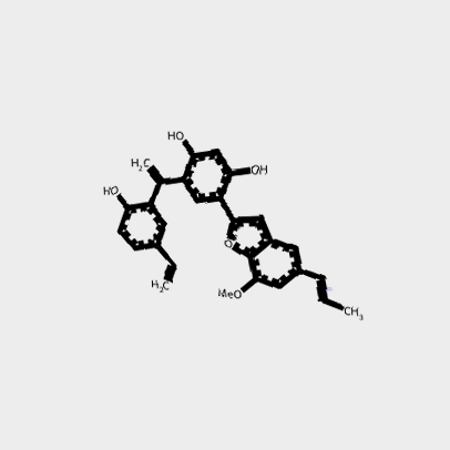 C=Cc1ccc(O)c(C(=C)c2cc(-c3cc4cc(/C=C/C)cc(OC)c4o3)c(O)cc2O)c1